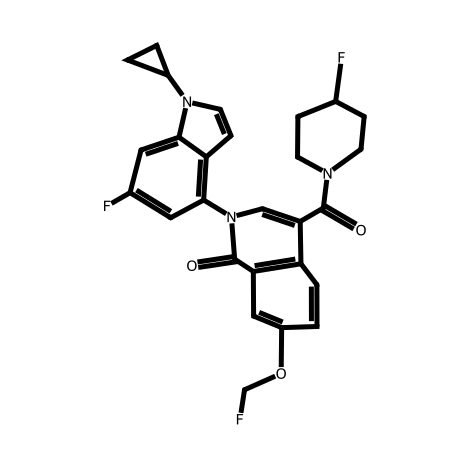 O=C(c1cn(-c2cc(F)cc3c2ccn3C2CC2)c(=O)c2cc(OCF)ccc12)N1CCC(F)CC1